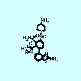 Nc1nc2c(-c3ccc(S(=O)(=O)N4CCC(N)CC4)c(S(N)(=O)=O)c3-c3nn[nH]n3)cccc2s1